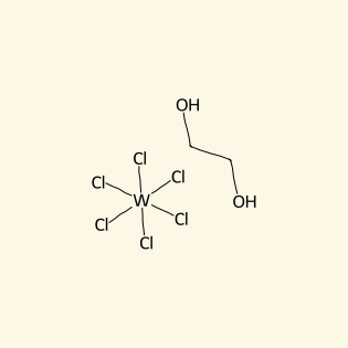 OCCO.[Cl][W]([Cl])([Cl])([Cl])([Cl])[Cl]